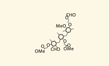 COC(=O)COc1c(Cc2cc(C)c(OCC(=O)OC)c(C=O)c2C)cc(C)cc1Cc1cc(C)c(OCCOC=O)c(OC)c1C